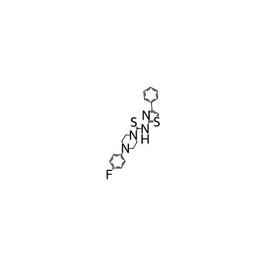 Fc1ccc(N2CCN(C(=S)Nc3nc(-c4ccccc4)cs3)CC2)cc1